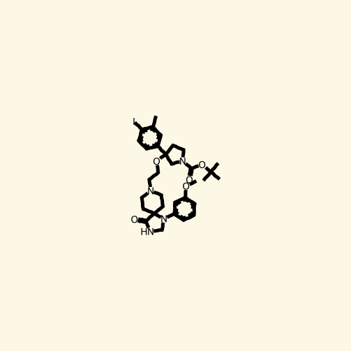 COc1cccc(N2CNC(=O)C23CCN(CCOC2(c4ccc(I)c(C)c4)CCN(C(=O)OC(C)(C)C)C2)CC3)c1